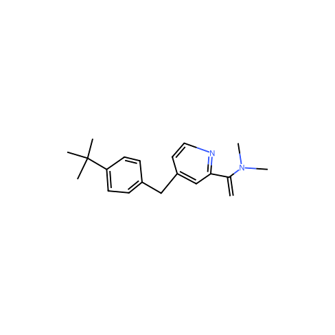 C=C(c1cc(Cc2ccc(C(C)(C)C)cc2)ccn1)N(C)C